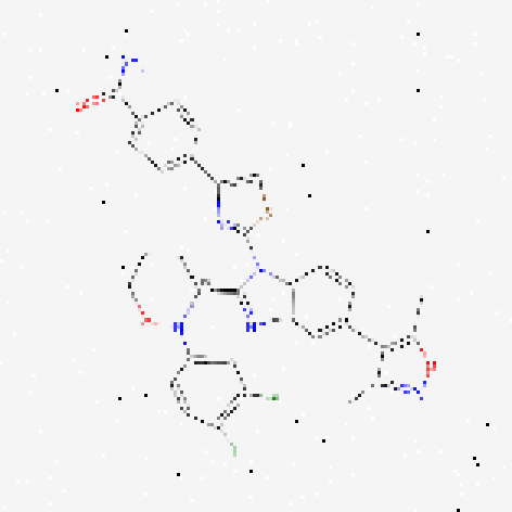 Cc1noc(C)c1-c1ccc2c(c1)nc([C@@H]1CCCON1c1ccc(F)c(F)c1)n2-c1nc(-c2ccc(C(N)=O)cc2)cs1